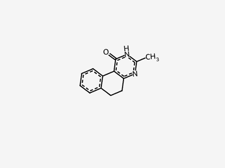 Cc1nc2c(c(=O)[nH]1)-c1ccccc1CC2